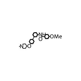 COc1ccc(C(=O)Nc2cccc(-c3ccc(OC4CCN(C)CC4)cc3)c2)cc1